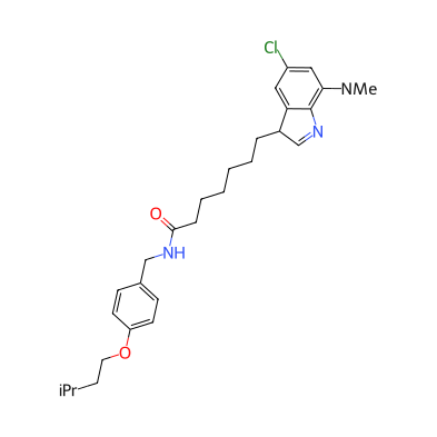 CNc1cc(Cl)cc2c1N=CC2CCCCCCC(=O)NCc1ccc(OCCC(C)C)cc1